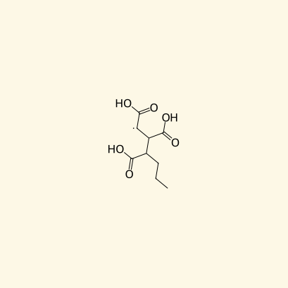 CCCC(C(=O)O)C([CH]C(=O)O)C(=O)O